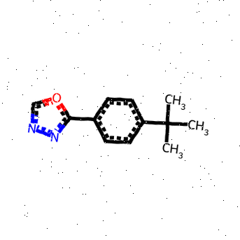 CC(C)(C)c1ccc(-c2nnco2)cc1